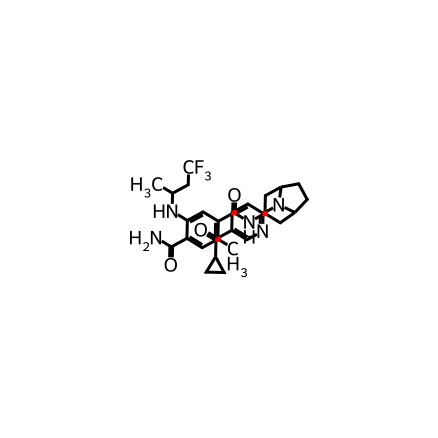 Cc1cc(C(N)=O)c(NC(C)CC(F)(F)F)cc1C(=O)NC1CC2CCC(C1)N2c1ccc(C(=O)C2CC2)cn1